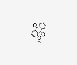 C=COc1cccc2c1C(=O)c1ccccc1C2=O